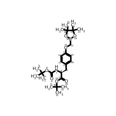 CC(C)(C)OC(=O)N[C@@H](Cc1ccc(OCB2OC(C)(C)C(C)(C)O2)cc1)C(=O)OC(C)(C)C